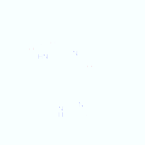 CCS(=O)(=O)Nc1cnc(OC2CCCCC2)c(-c2cc(C)[n+]([O-])c3[nH]ccc23)c1